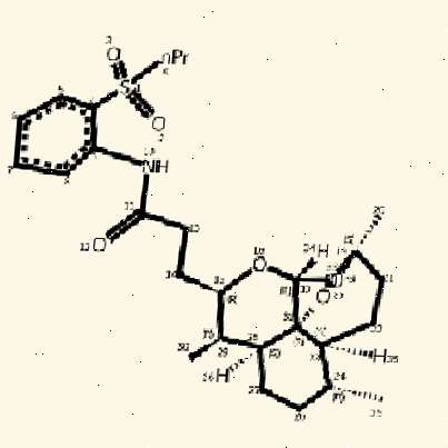 CCCS(=O)(=O)c1ccccc1NC(=O)CC[C@H]1O[C@@H]2O[C@]3(C)CC[C@H]4[C@H](C)CC[C@@H]([C@H]1C)[C@@]24OO3